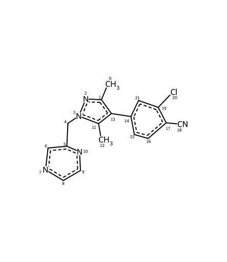 Cc1nn(Cc2cnccn2)c(C)c1-c1ccc(C#N)c(Cl)c1